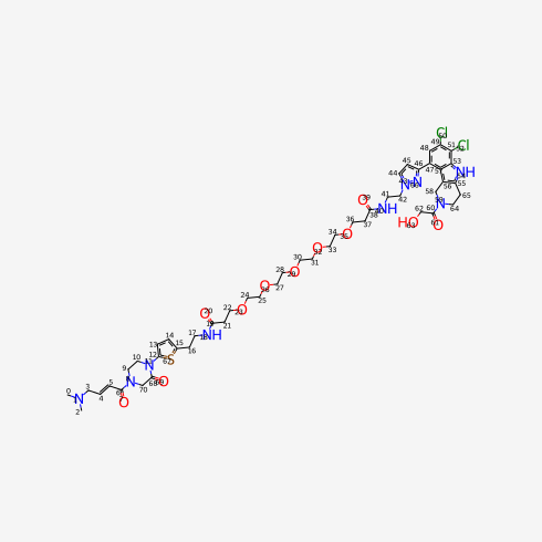 CN(C)C/C=C/C(=O)N1CCN(c2ccc(CCNC(=O)CCOCCOCCOCCOCCOCCC(=O)NCCn3ccc(-c4cc(Cl)c(Cl)c5[nH]c6c(c45)CN(C(=O)CO)CC6)n3)s2)C(=O)C1